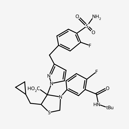 CC(C)(C)NC(=O)c1cc(N2CSC(CC3CC3)C2(C(=O)O)n2ccc(Cc3ccc(S(N)(=O)=O)c(F)c3)n2)ccc1F